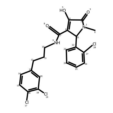 CN1C(=O)C(O)=C(C(=O)NCCCc2ccc(Cl)c(Cl)c2)C1c1ccccc1Cl